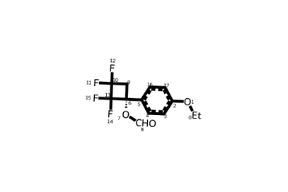 CCOc1ccc([C@]2(OC=O)CC(F)(F)C2(F)F)cc1